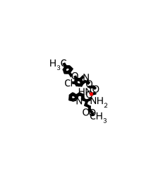 C1COCCN1.COC(=O)CCC(C(N)=O)c1ccc2ccccc2n1.Cc1ccc(COc2c(Cl)ccc3c2C=NC3=O)cc1